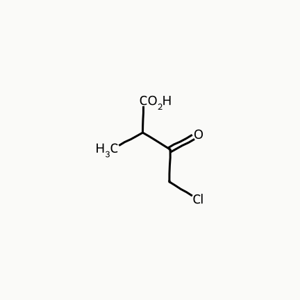 CC(C(=O)O)C(=O)CCl